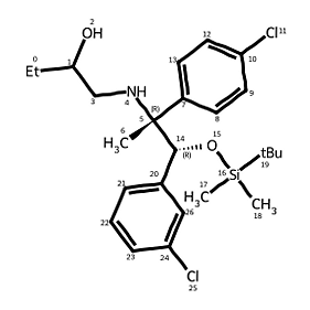 CCC(O)CN[C@](C)(c1ccc(Cl)cc1)[C@H](O[Si](C)(C)C(C)(C)C)c1cccc(Cl)c1